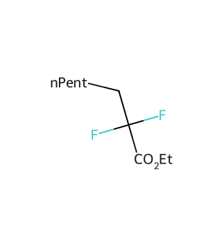 CCCCCCC(F)(F)C(=O)OCC